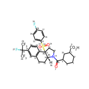 O=C(O)C1CCCC(C(=O)N2CC[C@@]3(S(=O)(=O)c4ccc(F)cc4)c4ccc(C(F)(C(F)(F)F)C(F)(F)F)cc4CC[C@@H]23)C1